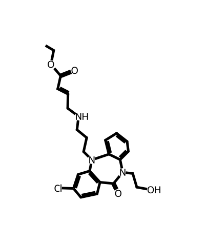 CCOC(=O)/C=C/CNCCCN1c2cc(Cl)ccc2C(=O)N(CCO)c2ccccc21